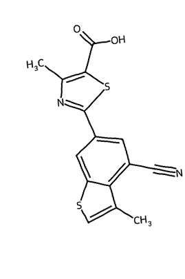 Cc1nc(-c2cc(C#N)c3c(C)csc3c2)sc1C(=O)O